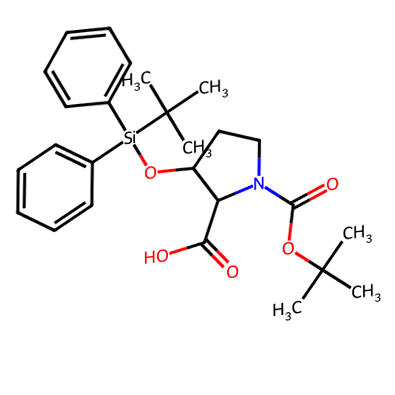 CC(C)(C)OC(=O)N1CCC(O[Si](c2ccccc2)(c2ccccc2)C(C)(C)C)C1C(=O)O